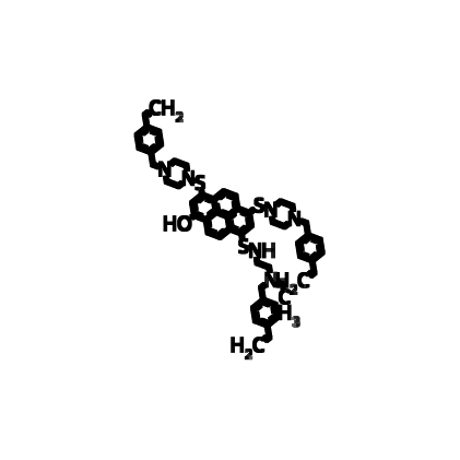 C=Cc1ccc(CN(CC)CCNSc2cc(SN3CCN(Cc4ccc(C=C)cc4)CC3)c3ccc4c(SN5CCN(Cc6ccc(C=C)cc6)CC5)cc(O)c5ccc2c3c54)cc1